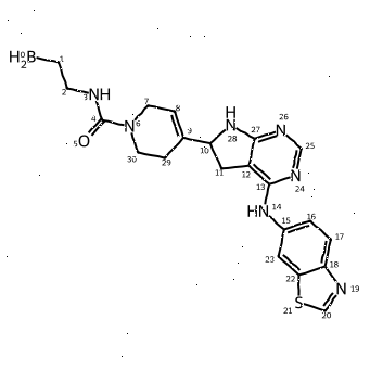 BCCNC(=O)N1CC=C(C2Cc3c(Nc4ccc5ncsc5c4)ncnc3N2)CC1